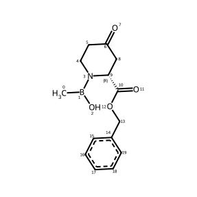 CB(O)N1CCC(=O)C[C@@H]1C(=O)OCc1ccccc1